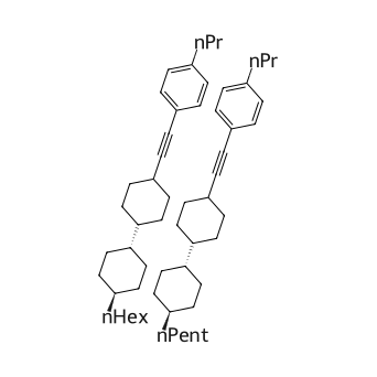 CCCCCC[C@H]1CC[C@H](C2CCC(C#Cc3ccc(CCC)cc3)CC2)CC1.CCCCC[C@H]1CC[C@H](C2CCC(C#Cc3ccc(CCC)cc3)CC2)CC1